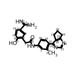 Cc1cc(NC(=O)Cc2cc(C(=N)N)ccc2O)ccc1-c1ncnc2c1CCC2